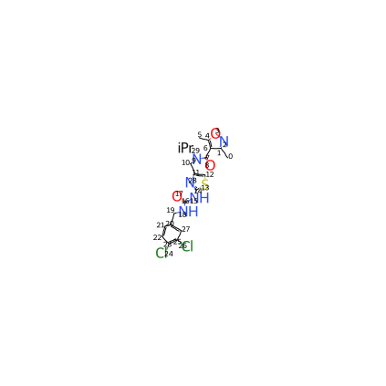 Cc1noc(C)c1C(=O)N(Cc1csc(NC(=O)NCc2ccc(Cl)c(Cl)c2)n1)C(C)C